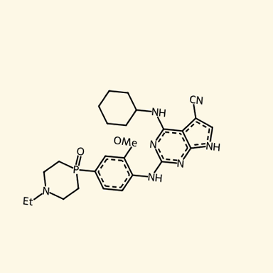 CCN1CCP(=O)(c2ccc(Nc3nc(NC4CCCCC4)c4c(C#N)c[nH]c4n3)c(OC)c2)CC1